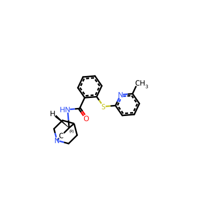 Cc1cccc(Sc2ccccc2C(=O)N[C@H]2CN3CCC2CC3)n1